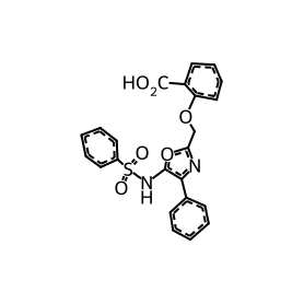 O=C(O)c1ccccc1OCc1nc(-c2ccccc2)c(NS(=O)(=O)c2ccccc2)o1